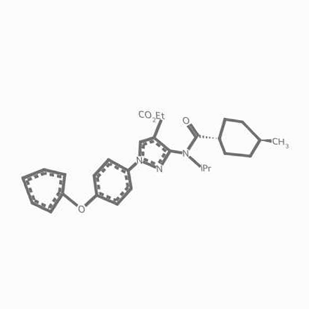 CCOC(=O)c1cn(-c2ccc(Oc3ccccc3)cc2)nc1N(C(=O)[C@H]1CC[C@H](C)CC1)C(C)C